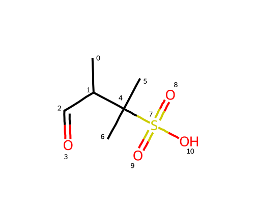 CC(C=O)C(C)(C)S(=O)(=O)O